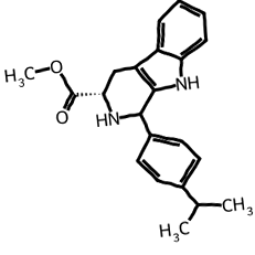 COC(=O)[C@@H]1Cc2c([nH]c3ccccc23)C(c2ccc(C(C)C)cc2)N1